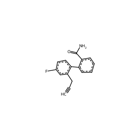 C#CCc1cc(F)ccc1-c1ccccc1C(N)=O